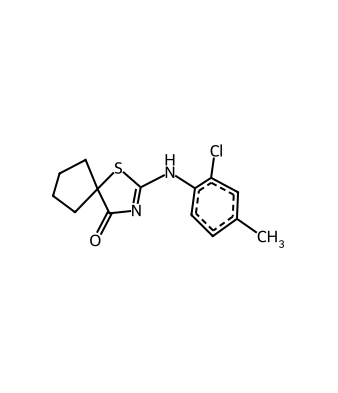 Cc1ccc(NC2=NC(=O)C3(CCCC3)S2)c(Cl)c1